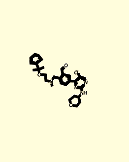 CN(CCOC(C)(C)c1ccccc1)Cc1ccc(-c2nc(NC3CCOCC3)ncc2Cl)cc1C=O